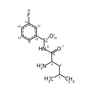 CC(C)CC(N)C(=O)N[S+]([O-])c1cccc(F)c1